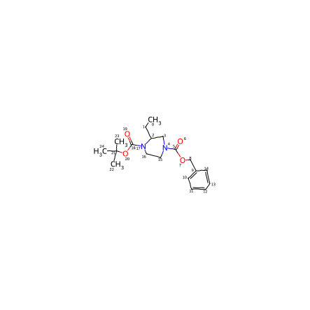 CCC1CN(C(=O)OCc2ccccc2)CCN1C(=O)OC(C)(C)C